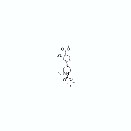 CC[C@@H]1CN(c2ccc(C(=O)OC)c(OC)c2)CCN1C(=O)OC(C)(C)C